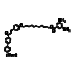 CCCCCc1ccc(-c2ccc(C(=O)C=Cc3ccc(OCCCCCCCCCCCOC(=O)c4cc(N)cc(N)c4)cc3)cc2)cc1